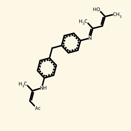 CC(=O)/C=C(/C)Nc1ccc(Cc2ccc(/N=C(C)/C=C(/C)O)cc2)cc1